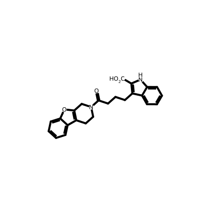 O=C(O)c1[nH]c2ccccc2c1CCCC(=O)N1CCc2c(oc3ccccc23)C1